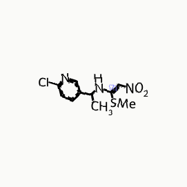 CS/C(=C\[N+](=O)[O-])NC(C)c1ccc(Cl)nc1